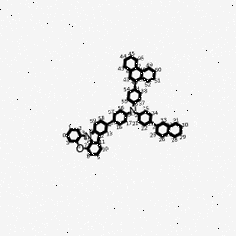 c1ccc2c(c1)Oc1cccc3c4cc(-c5ccc(N(c6ccc(-c7ccc8ccccc8c7)cc6)c6ccc(-c7cc8ccccc8c8ccccc78)cc6)cc5)ccc4n-2c13